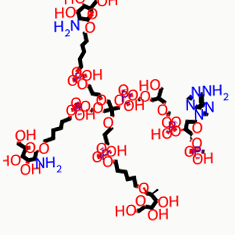 C[C@H]1C(O)[C@@H](O)C(CO)O[C@H]1OCCCCCCOP(=O)(O)OCCCOCC(COCCCOP(=O)(O)OCCCCCCO[C@@H]1OC(CO)[C@H](O)C(O)[C@@H]1N)(COCOP(=O)(O)OCCCCCCO[C@@H]1OC(CO)[C@H](O)C(O)[C@@H]1N)COP(=O)(O)OCOCC(CO)COCOP(=O)(O)O[C@H]1C[C@H](n2cnc3c(N)ncnc32)O[C@@H]1COP(C)(=O)O